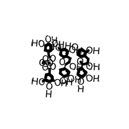 O=C(OS(=O)(=O)OC(=O)c1cc(O)c(O)c(O)c1)c1cc(O)c(O)c(O)c1.Oc1cc(O)c2c(c1)O[C@H](c1ccc(O)c(O)c1)[C@H](O)C2.Oc1cc(O)c2c(c1)O[C@H](c1ccc(O)c(O)c1)[C@H](O)C2